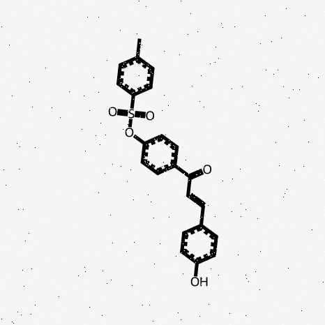 Cc1ccc(S(=O)(=O)Oc2ccc(C(=O)C=Cc3ccc(O)cc3)cc2)cc1